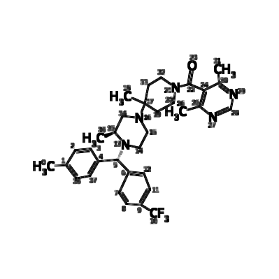 Cc1ccc([C@@H](c2ccc(C(F)(F)F)cc2)N2CCN(C3(C)CCN(C(=O)c4c(C)ncnc4C)CC3)C[C@@H]2C)cc1